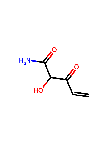 C=CC(=O)C(O)C(N)=O